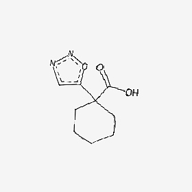 O=C(O)C1(c2cnno2)CCCCC1